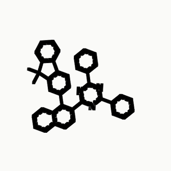 CC1(C)c2ccccc2-c2ccc(-c3c(-c4nc(-c5ccccc5)nc(-c5ccccc5)n4)ccc4ccccc34)cc21